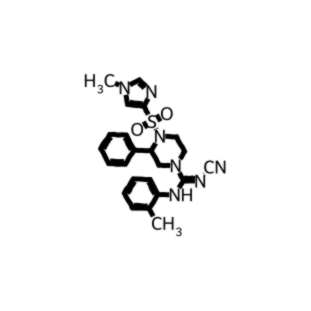 Cc1ccccc1N/C(=N/C#N)N1CCN(S(=O)(=O)c2cn(C)cn2)C(c2ccccc2)C1